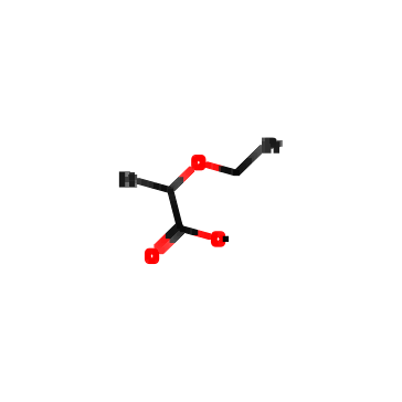 CCC(OCC(C)C)C([O])=O